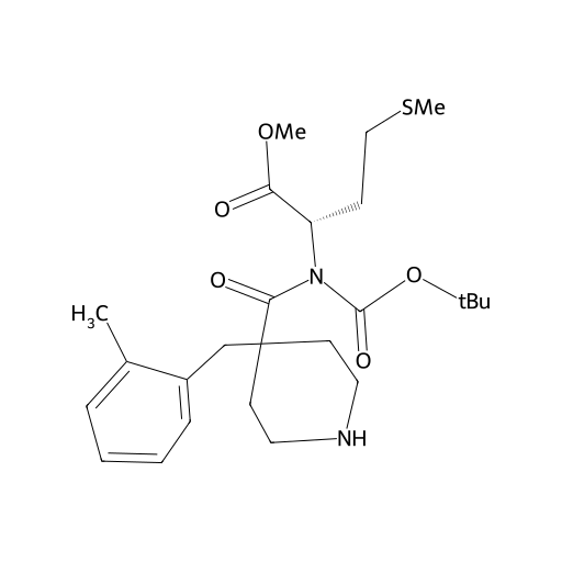 COC(=O)[C@H](CCSC)N(C(=O)OC(C)(C)C)C(=O)C1(Cc2ccccc2C)CCNCC1